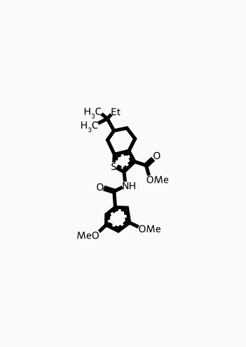 CCC(C)(C)C1CCc2c(sc(NC(=O)c3cc(OC)cc(OC)c3)c2C(=O)OC)C1